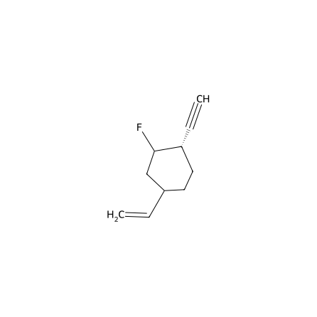 C#C[C@@H]1CCC(C=C)CC1F